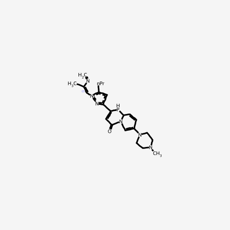 C=N/C(C)=C\n1nc(C2=CC(=O)N3C=C(N4CCN(C)CC4)C=CC3P2)cc1CCC